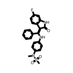 CN(c1ccc(N/C(=C2\C(=O)Nc3cc(F)ccc32)c2ccccc2)cc1)S(C)(=O)=O